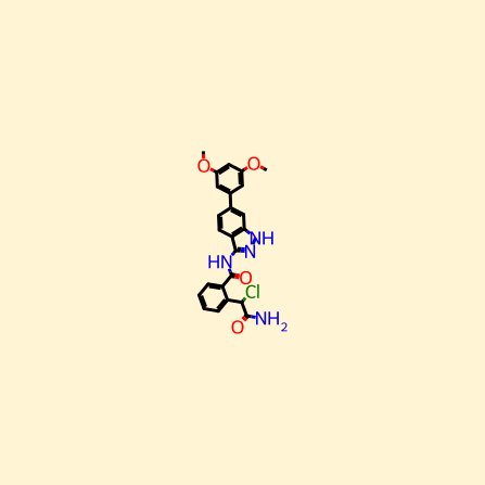 COc1cc(OC)cc(-c2ccc3c(NC(=O)c4ccccc4C(Cl)C(N)=O)n[nH]c3c2)c1